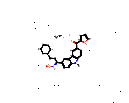 CC(=O)O.CCn1c2ccc(C(=O)c3ccco3)cc2c2cc(C(CCC3CCCCC3)=NO)ccc21